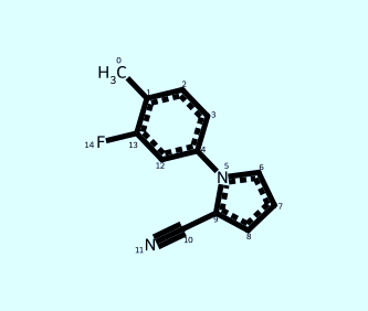 Cc1ccc(-n2cccc2C#N)cc1F